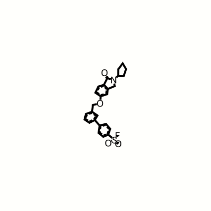 O=C1c2ccc(OCc3cccc(-c4ccc(S(=O)(=O)F)cc4)c3)cc2CN1C1CCCC1